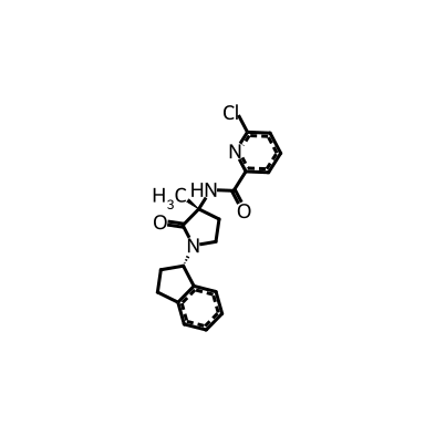 C[C@@]1(NC(=O)c2cccc(Cl)n2)CCN([C@H]2CCc3ccccc32)C1=O